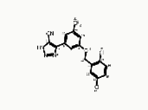 N#Cc1[nH]nnc1-c1cc(OCc2cc(Cl)ccc2Cl)cc(C(F)(F)F)c1